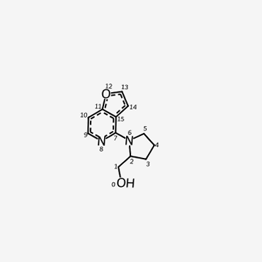 OCC1CCCN1c1nccc2occc12